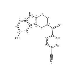 N#Cc1ccc(C(=O)N2CCc3[nH]c4ncc(Cl)cc4c3C2)cc1